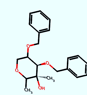 CC1OCC(OCc2ccccc2)[C@@H](OCc2ccccc2)[C@@]1(C)O